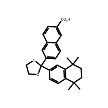 CC1(C)CCC(C)(C)c2cc(C3(c4ccc5cc(C(=O)O)ccc5c4)OCCO3)ccc21